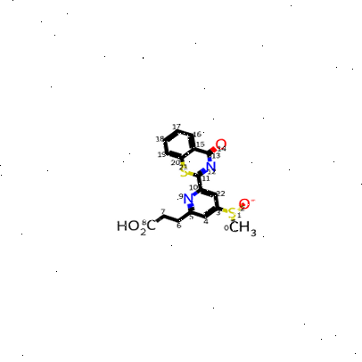 C[S+]([O-])c1cc(CCC(=O)O)nc(-c2nc(=O)c3ccccc3s2)c1